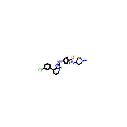 CN1CCC(NC(=O)c2ccc(Nc3nc4c(-c5cccc(Cl)c5)cccn4n3)cc2)CC1